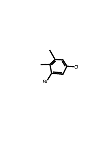 Cc1cc(Cl)cc(Br)c1C